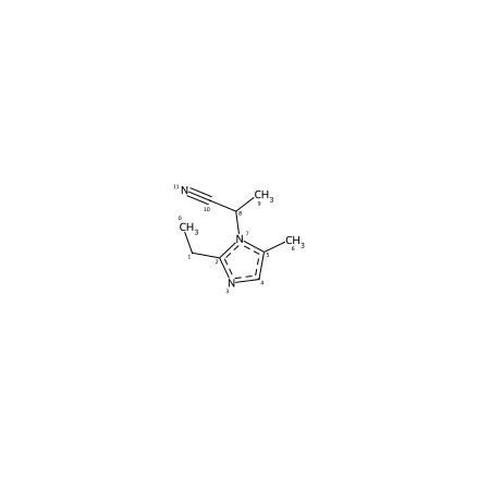 CCc1ncc(C)n1C(C)C#N